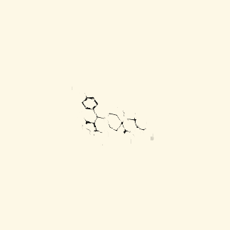 CCCCN1C(=O)[C@@H]([C@H](O)C(C)C)NC(=O)C12CCN(C(c1ccc(C)cc1)c1c(C)n[nH]c1C)CC2.Cl